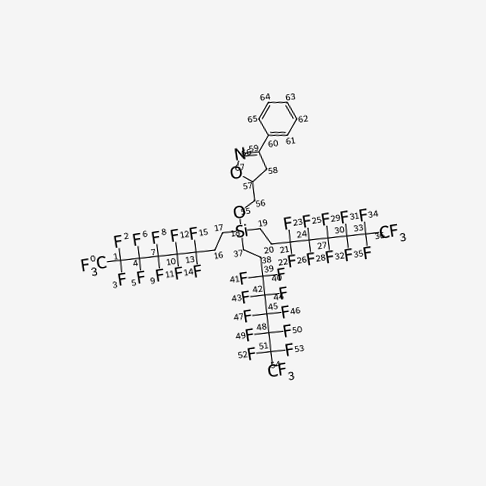 FC(F)(F)C(F)(F)C(F)(F)C(F)(F)C(F)(F)C(F)(F)CC[Si](CCC(F)(F)C(F)(F)C(F)(F)C(F)(F)C(F)(F)C(F)(F)F)(CCC(F)(F)C(F)(F)C(F)(F)C(F)(F)C(F)(F)C(F)(F)F)OCC1CC(c2ccccc2)=NO1